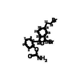 NC(=O)Oc1ccccc1-c1oc(Br)c2cc(CCBr)ccc12